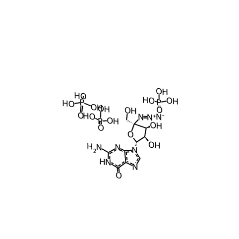 O=P(O)(O)O.O=P(O)(O)O.O=P(O)(O)O.[N-]=[N+]=N[C@]1(CO)O[C@@H](n2cnc3c(=O)[nH]c(N)nc32)[C@H](O)[C@@H]1O